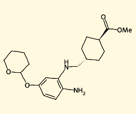 COC(=O)[C@H]1CC[C@H](CNc2cc(OC3CCCCO3)ccc2N)CC1